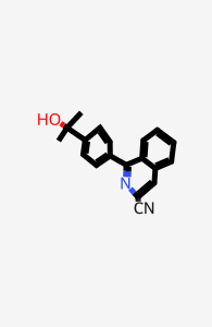 CC(C)(O)c1ccc(-c2nc(C#N)cc3ccccc23)cc1